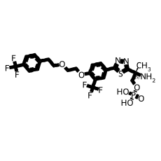 C[C@](N)(COP(=O)(O)O)c1nnc(-c2ccc(OCCOCCc3ccc(C(F)(F)F)cc3)c(C(F)(F)F)c2)s1